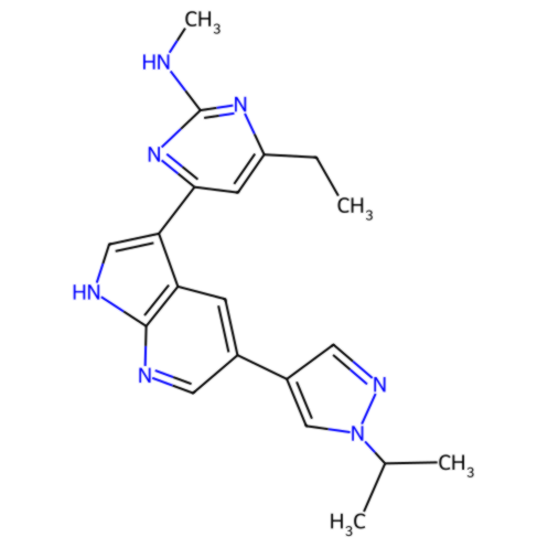 CCc1cc(-c2c[nH]c3ncc(-c4cnn(C(C)C)c4)cc23)nc(NC)n1